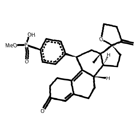 C=C1CCO[C@]12CC[C@H]1[C@@H]3CCC4=CC(=O)CCC4=C3[C@@H](c3ccc(P(=O)(O)OC)cc3)C[C@@]12C